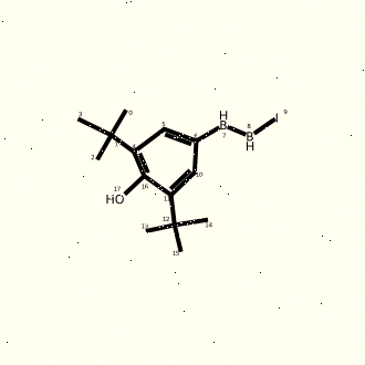 CC(C)(C)c1cc(BBI)cc(C(C)(C)C)c1O